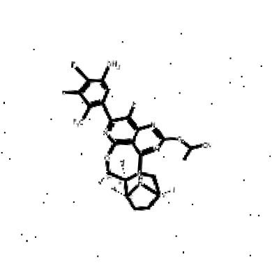 Cc1c(F)c(N)cc(-c2nc3c4c(nc(OC(C)C#N)nc4c2F)N2C[C@H]4CC[C@H](N4)[C@H]2[C@H](C)O3)c1C(F)(F)F